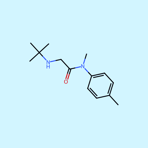 Cc1ccc(N(C)C(=O)CNC(C)(C)C)cc1